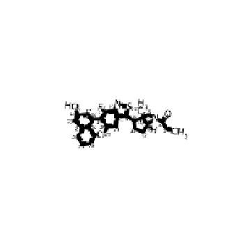 C=CC(=O)N1C[C@]2(C)C(c3snc4c(F)c(-c5cc(O)cc6ccccc56)c(Cl)cc34)CC[C@H]12